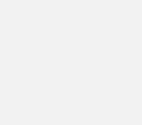 c1ccc2nc(COc3ccc([C]4CCCC4)cc3)ccc2c1